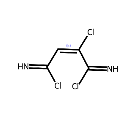 N=C(Cl)/C=C(/Cl)C(=N)Cl